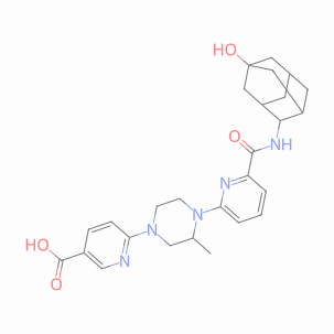 CC1CN(c2ccc(C(=O)O)cn2)CCN1c1cccc(C(=O)NC2C3CC4CC2CC(O)(C4)C3)n1